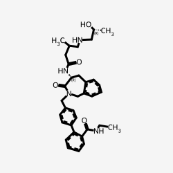 CCNC(=O)c1ccccc1-c1ccc(CN2Cc3ccccc3C[C@@H](NC(=O)CC(C)CNC[C@@H](C)O)C2=O)cc1